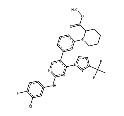 COC(=O)C1CCCCN1c1cccc(-c2cnc(Nc3ccc(F)c(Cl)c3)nc2-n2ccc(C(F)(F)F)n2)c1